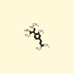 C=C(C)/C=C/c1ccc(C(CPC)C(=C)CCCC)c(C)c1